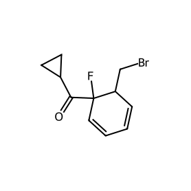 O=C(C1CC1)C1(F)C=CC=CC1CBr